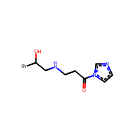 CC(C)C(O)CNCCC(=O)n1ccnc1